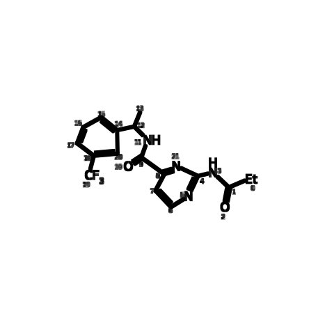 CCC(=O)Nc1nccc(C(=O)NC(C)c2cccc(C(F)(F)F)c2)n1